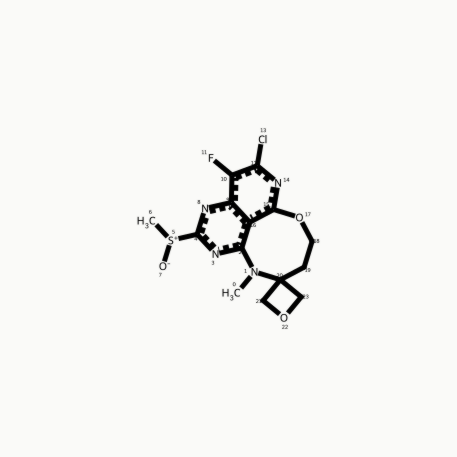 CN1c2nc([S+](C)[O-])nc3c(F)c(Cl)nc(c23)OCCC12COC2